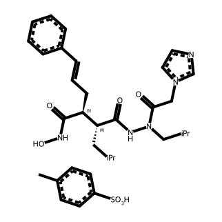 CC(C)C[C@@H](C(=O)NN(CC(C)C)C(=O)Cn1ccnc1)[C@H](CC=Cc1ccccc1)C(=O)NO.Cc1ccc(S(=O)(=O)O)cc1